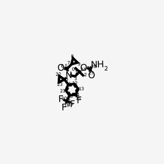 CC(C)(CN(C(=O)C1CC1)C1(c2ccc(F)c(C(F)(F)F)c2)CC1)OC(N)=O